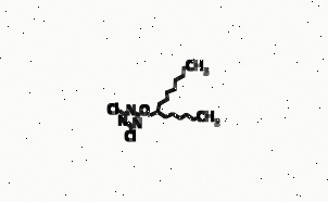 CCCCCCCCC(CCCCCC)COc1nc(Cl)nc(Cl)n1